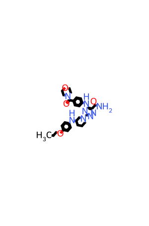 CCCOc1ccc(NC2CCCN(c3nnc(C(N)=O)c(Nc4ccc(C(=O)N5CCOCC5)cc4)n3)C2)cc1